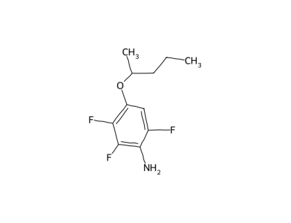 CCCC(C)Oc1cc(F)c(N)c(F)c1F